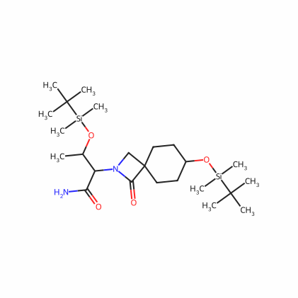 CC(O[Si](C)(C)C(C)(C)C)C(C(N)=O)N1CC2(CCC(O[Si](C)(C)C(C)(C)C)CC2)C1=O